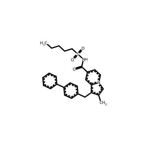 CCCCCS(=O)(=O)NC(=O)c1ccn2cc(C)c(Cc3ccc(-c4ccccc4)cc3)c2c1